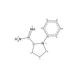 N=C(N)C1CCCN1c1ccccc1